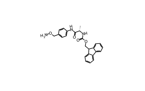 C[C@H](NC(=O)OCC1c2ccccc2-c2ccccc21)C(=O)Nc1ccc(CON)cc1